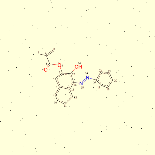 C=C(C)C(=O)Oc1cc2ccccc2c(N=Nc2ccccc2)c1O